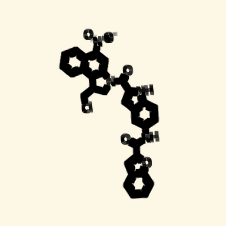 O=C(Nc1ccc2[nH]c(C(=O)N3CC(CCl)c4c3cc([N+](=O)[O-])c3ccccc43)cc2c1)c1cc2ccccc2o1